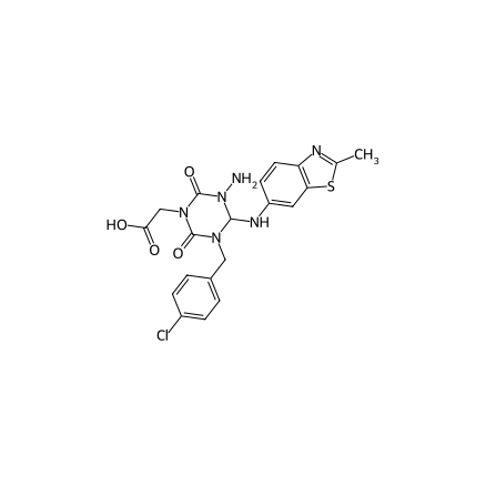 Cc1nc2ccc(NC3N(N)C(=O)N(CC(=O)O)C(=O)N3Cc3ccc(Cl)cc3)cc2s1